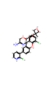 CC1(C#CC2OCC(N)=N[C@]23c2cc(-c4cccnc4F)ccc2Oc2c(F)cccc23)COC1